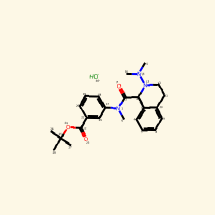 CN(C(=O)C1c2ccccc2CCN1N(C)C)c1cccc(C(=O)OC(C)(C)C)c1.Cl